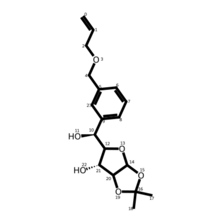 C=CCOCc1cccc([C@H](O)C2OC3OC(C)(C)OC3[C@@H]2O)c1